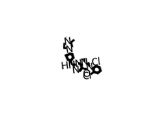 CC1CN(c2ccc(Nc3ncc4c(n3)N(C)CN(c3c(Cl)cccc3Cl)C4=O)cc2)CCN1C